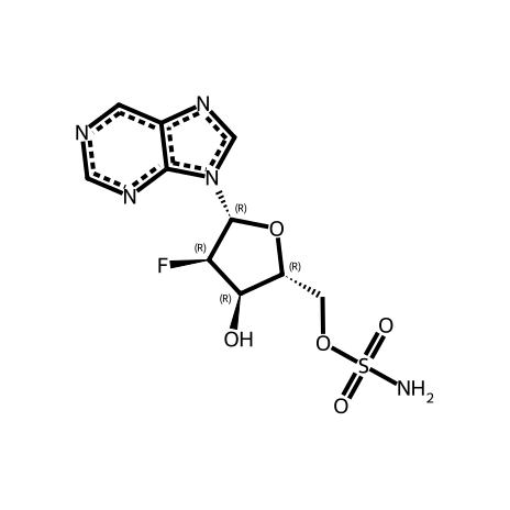 NS(=O)(=O)OC[C@H]1O[C@@H](n2cnc3cncnc32)[C@H](F)[C@@H]1O